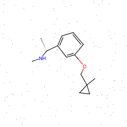 CN[C@H](C)c1cccc(OCC2(C)CC2)c1